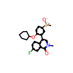 Cn1cc(-c2cc([S+](C)[O-])ccc2OC2CCCCC2)c2ccc(F)cc2c1=O